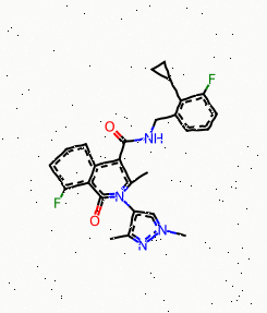 Cc1nn(C)cc1-n1c(C)c(C(=O)NCc2cccc(F)c2C2CC2)c2cccc(F)c2c1=O